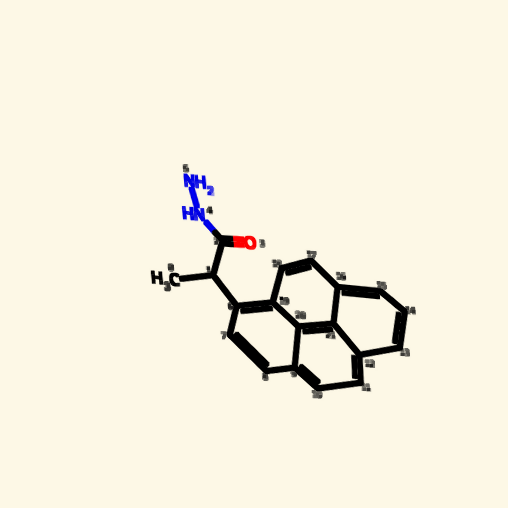 CC(C(=O)NN)c1ccc2ccc3cccc4ccc1c2c34